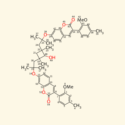 COc1cc(C)ccc1-c1cc2ccc(OC(C)(C)CC3(C)CC(C)(CC(C)(C)Oc4ccc5cc(-c6ccc(C)cc6OC)c(=O)oc5c4)C3O)cc2oc1=O